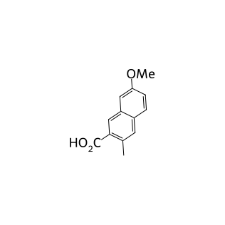 COc1ccc2cc(C)c(C(=O)O)cc2c1